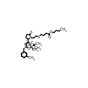 CCCCOC(=O)CCCSCCN1C(=S)CC[C@@H]1/C=C/[C@H](Cc1cccc(C)c1)O[Si](C)(C)C(C)(C)C